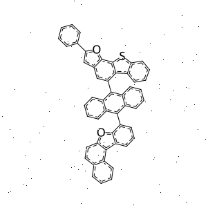 c1ccc(-c2cc3cc(-c4c5ccccc5c(-c5cccc6c5oc5ccc7ccccc7c56)c5ccccc45)c4c5ccccc5sc4c3o2)cc1